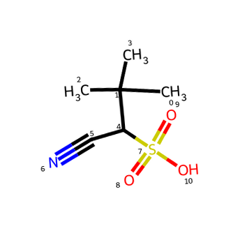 CC(C)(C)C(C#N)S(=O)(=O)O